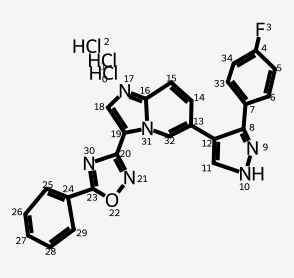 Cl.Cl.Cl.Fc1ccc(-c2n[nH]cc2-c2ccc3ncc(-c4noc(-c5ccccc5)n4)n3c2)cc1